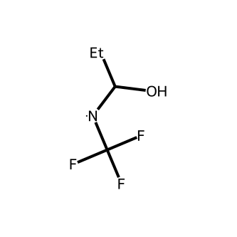 CCC(O)[N]C(F)(F)F